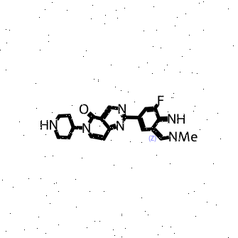 CN/C=C1/C=C(c2ncc3c(=O)n(C4CCNCC4)ccc3n2)C=C(F)C1=N